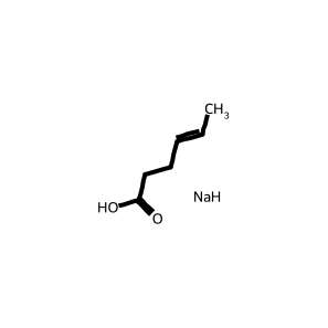 C/C=C/CCC(=O)O.[NaH]